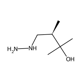 C[C@H](CNN)C(C)(C)O